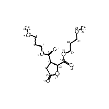 CCOCCCOC(=O)C1CC(=O)OC1C(=O)OCCCOCC